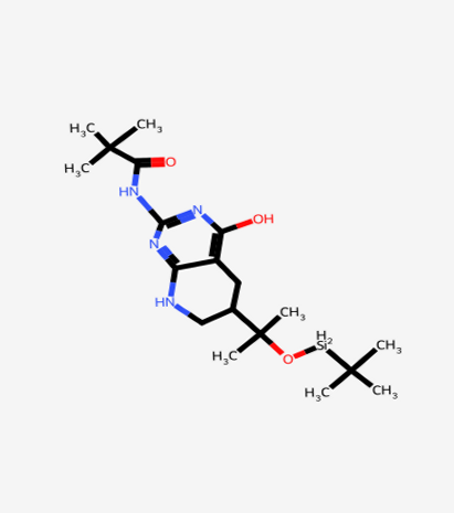 CC(C)(C)[SiH2]OC(C)(C)C1CNc2nc(NC(=O)C(C)(C)C)nc(O)c2C1